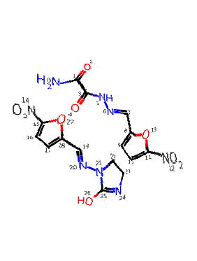 NC(=O)C(=O)N/N=C/c1ccc([N+](=O)[O-])o1.O=[N+]([O-])c1ccc(/C=N/N2CCN=C2O)o1